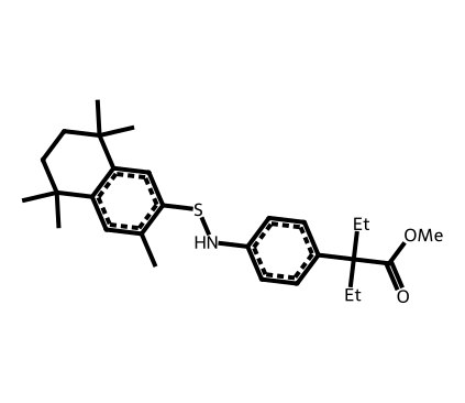 CCC(CC)(C(=O)OC)c1ccc(NSc2cc3c(cc2C)C(C)(C)CCC3(C)C)cc1